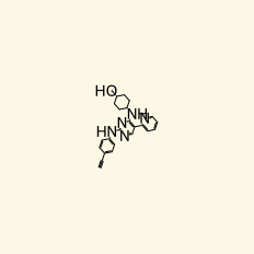 C#Cc1ccc(Nc2ncc(-c3ccccn3)c(N[C@H]3CC[C@H](O)CC3)n2)cc1